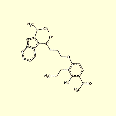 CCCc1c(OCCC[S+]([O-])c2c(C(C)C)nn3ccccc23)ccc(C(C)=O)c1O